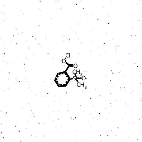 C[Si](C)([O])c1ccccc1C(=O)OCl